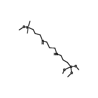 CO[Si](C)(C)CCCNCCCNCCC[Si](OC)(OC)OC